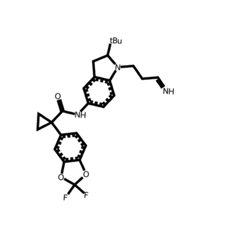 CC(C)(C)C1Cc2cc(NC(=O)C3(c4ccc5c(c4)OC(F)(F)O5)CC3)ccc2N1CCC=N